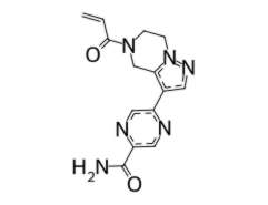 C=CC(=O)N1CCn2ncc(-c3cnc(C(N)=O)cn3)c2C1